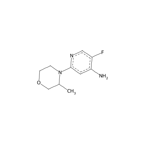 CC1COCCN1c1cc(N)c(F)cn1